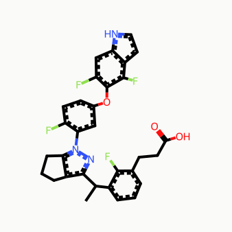 CC(c1cccc(CCC(=O)O)c1F)c1nn(-c2cc(Oc3c(F)cc4[nH]ccc4c3F)ccc2F)c2c1CCC2